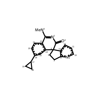 CNC1=NC(=O)C2(CCc3ncccc32)c2cc(C3CC3)ccc21